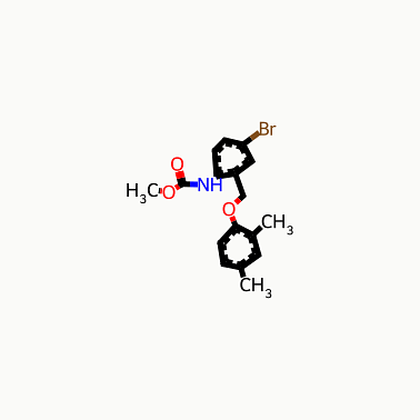 COC(=O)Nc1ccc(Br)cc1COc1ccc(C)cc1C